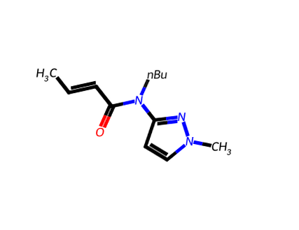 CC=CC(=O)N(CCCC)c1ccn(C)n1